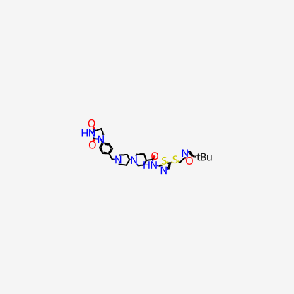 CC(C)(C)c1cnc(CSc2cnc(NC(=O)C3CCN(C4CCN(Cc5ccc(N6CCC(=O)NC6=O)cc5)CC4)CC3)s2)o1